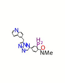 CNC(=O)c1ccc(-c2cnc3ncc(Cc4ccc5ncccc5c4)n3n2)cc1P